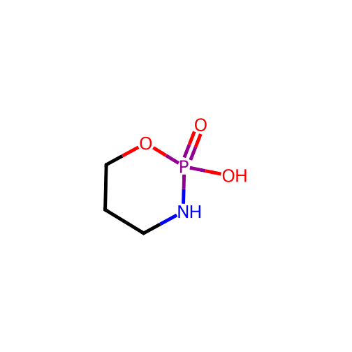 O=P1(O)NCCCO1